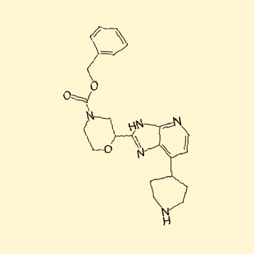 O=C(OCc1ccccc1)N1CCOC(c2nc3c(C4CCNCC4)ccnc3[nH]2)C1